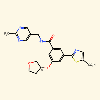 O=C(NCc1cnc(C(F)(F)F)nc1)c1cc(O[C@@H]2CCOC2)cc(-c2ncc(C(=O)O)s2)c1